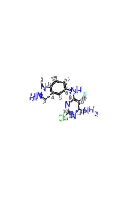 CN1NCc2cc(Nc3nc(Cl)nc(N)c3F)ccc21